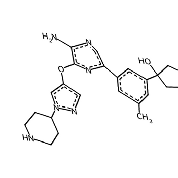 Cc1cc(-c2cnc(N)c(Oc3cnn(C4CCNCC4)c3)n2)cc(C2(O)CCOC2)c1